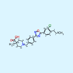 CCCc1ccc(-c2nc(-c3ccc(CN4CCC(C)(C(=O)O)CC4)cc3)no2)cc1Cl